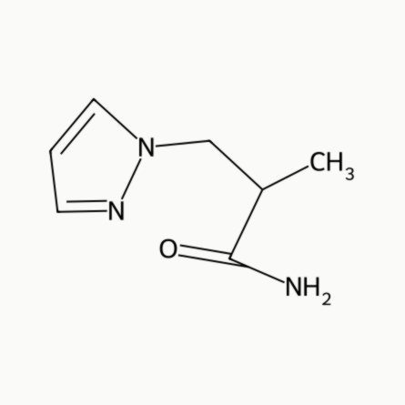 CC(Cn1cccn1)C(N)=O